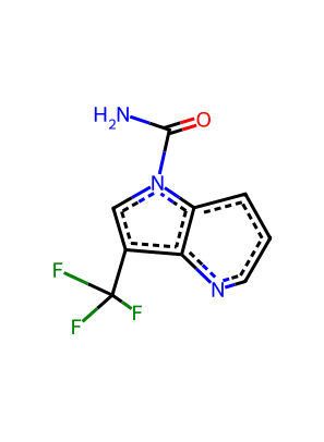 NC(=O)n1cc(C(F)(F)F)c2ncccc21